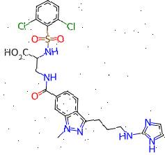 Cn1nc(CCCNc2ncc[nH]2)c2ccc(C(=O)NCC(NS(=O)(=O)c3c(Cl)cccc3Cl)C(=O)O)cc21